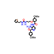 COc1ccc(C(=O)c2nccc(NC(=O)c3ccc(OC)cc3OCCCNC(=O)NCCc3cccs3)c2N)cc1